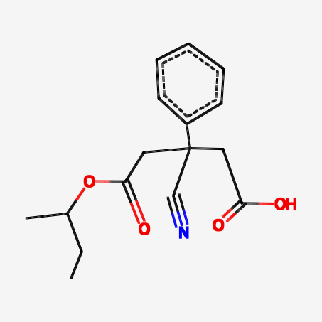 CCC(C)OC(=O)CC(C#N)(CC(=O)O)c1ccccc1